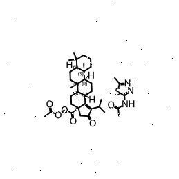 CC(=O)Nc1nnc(C)s1.CC(=O)OOC(=O)[C@@]12CC[C@]3(C)[C@H](CC[C@@H]4[C@@]5(C)CCCC(C)(C)[C@@H]5CC[C@]43C)C1=C(C(C)C)C(=O)C2